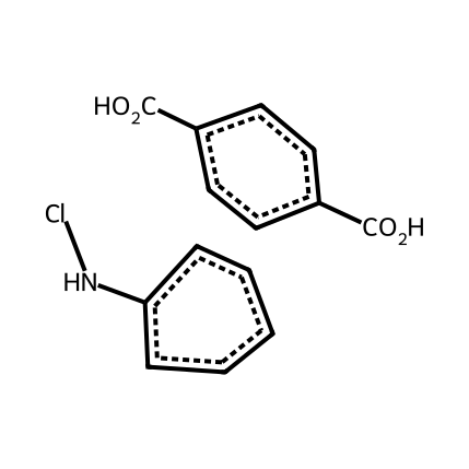 ClNc1ccccc1.O=C(O)c1ccc(C(=O)O)cc1